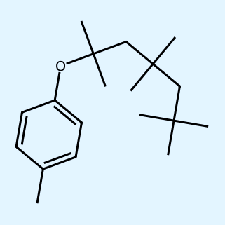 Cc1ccc(OC(C)(C)CC(C)(C)CC(C)(C)C)cc1